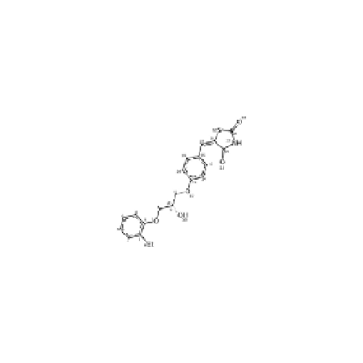 CCc1ccccc1OC[C@@H](O)COc1ccc(C=C2SC(=O)NC2=O)cc1